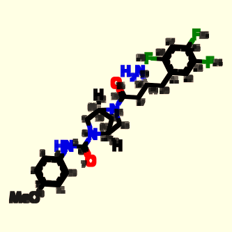 COc1ccc(NC(=O)N2C[C@@H]3C[C@H]2CN3C(=O)C[C@H](N)Cc2cc(F)c(F)cc2F)cc1